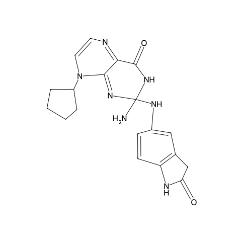 NC1(Nc2ccc3c(c2)CC(=O)N3)N=C2C(=NC=CN2C2CCCC2)C(=O)N1